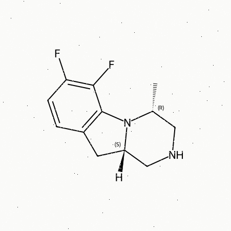 C[C@@H]1CNC[C@@H]2Cc3ccc(F)c(F)c3N21